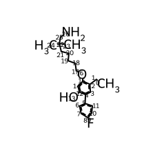 CCc1cc(-c2ccc(F)cc2)c(O)cc1OCCCCCC(C)(C)CN